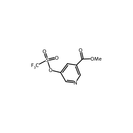 COC(=O)c1cncc(OS(=O)(=O)C(F)(F)F)c1